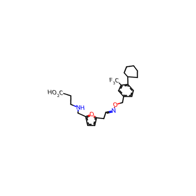 O=C(O)CCNCc1ccc(CC=NOCc2ccc(C3CCCCC3)c(C(F)(F)F)c2)o1